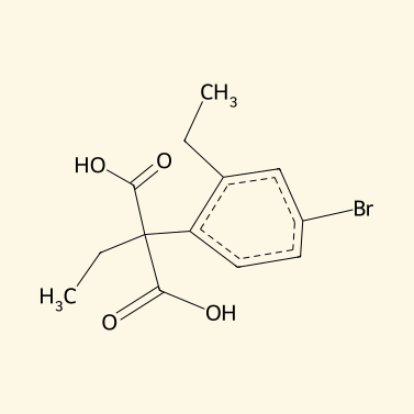 CCc1cc(Br)ccc1C(CC)(C(=O)O)C(=O)O